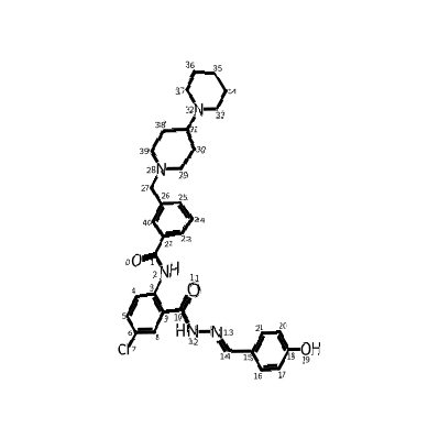 O=C(Nc1ccc(Cl)cc1C(=O)NN=Cc1ccc(O)cc1)c1cccc(CN2CCC(N3CCCCC3)CC2)c1